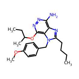 CCCCc1nc2c(N)nnc(OC(C)CC)c2n1Cc1ccc(OC)cc1